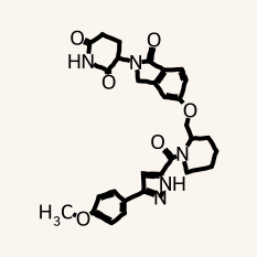 COc1ccc(-c2cc(C(=O)N3CCCCC3COc3ccc4c(c3)CN(C3CCC(=O)NC3=O)C4=O)[nH]n2)cc1